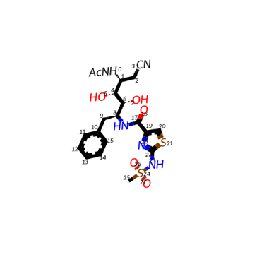 CC(=O)N[C@H](CC#N)[C@@H](O)[C@H](O)[C@H](Cc1ccccc1)NC(=O)c1csc(NS(C)(=O)=O)n1